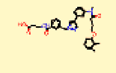 Cc1cccc(OCCCC(=O)N(C)c2cccc(-c3cnn(Cc4cccc(C(=O)NCCC(=O)O)c4)c3)c2)c1C